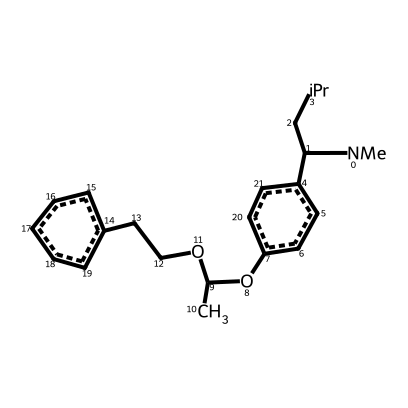 CNC(CC(C)C)c1ccc(OC(C)OCCc2ccccc2)cc1